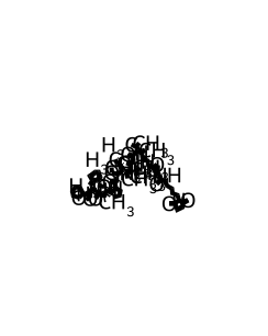 CC[C@H](C)[C@@H]([C@@H](CC(=O)N1CCC[C@H]1[C@H](OC)[C@@H](C)C(=O)N[C@@H](Cc1ccccc1)C(=O)N1CCCCO1)OC)N(C)[C@H](C(=O)NC(=O)[C@H](C(C)C)N(C)CCCC(=O)NNC(=O)CCCCCN1C(=O)C=CC1=O)C(C)C